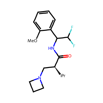 COc1ccccc1C(NC(=O)[C@H](CN1CCC1)C(C)C)C(F)F